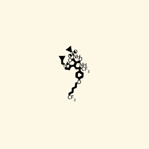 O=C1N[C@@](c2ccc(OCCCCCC(F)(F)F)cc2)(C(F)(F)F)CC(c2ccn(CC3CC3)n2)=C1C(=O)NS(=O)(=O)C1CC1